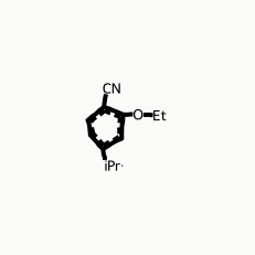 CCOc1cc([C](C)C)ccc1C#N